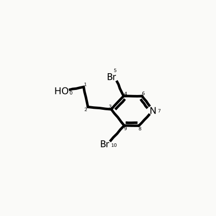 OCCc1c(Br)cncc1Br